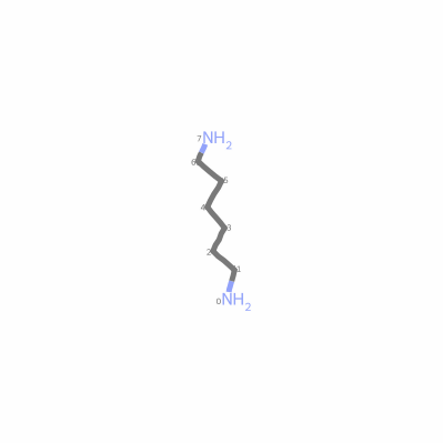 N[CH]CCCC[CH]N